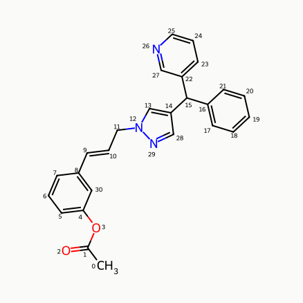 CC(=O)Oc1cccc(C=CCn2cc(C(c3ccccc3)c3cccnc3)cn2)c1